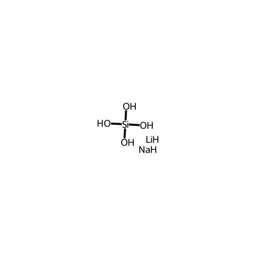 O[Si](O)(O)O.[LiH].[NaH]